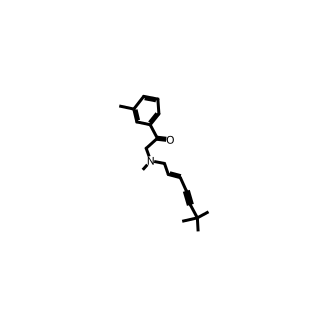 Cc1cccc(C(=O)CN(C)CC=CC#CC(C)(C)C)c1